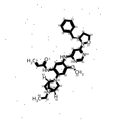 C=CC(=O)Nc1cc(Nc2cc(N3OCC[C@@H]3Cc3ccccc3)ncn2)c(OC)cc1N1C[C@H]2C[C@@H]1CN2CC